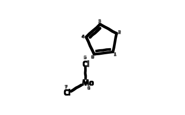 C1=CCC=C1.[Cl][Mo][Cl]